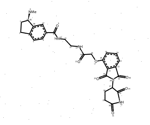 CN[C@@H]1CCc2ccc(C(=O)NCCNC(=O)COc3cccc4c3C(=O)N(C3CCC(=O)NC3=O)C4=O)cc21